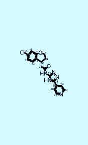 O=C(C[C@H]1CCOc2cc(Cl)ccc21)Nc1nnc(-c2ccncc2)[nH]1